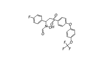 O=CN(O)C(CS(=O)(=O)c1ccc(Oc2ccc(OC(F)(F)F)cc2)cc1)c1ccc(F)cc1